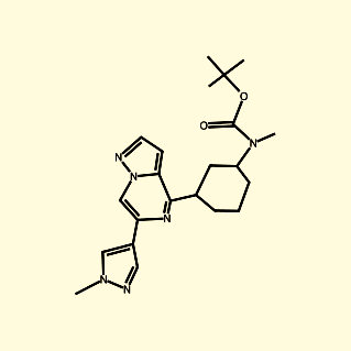 CN(C(=O)OC(C)(C)C)C1CCCC(c2nc(-c3cnn(C)c3)cn3nccc23)C1